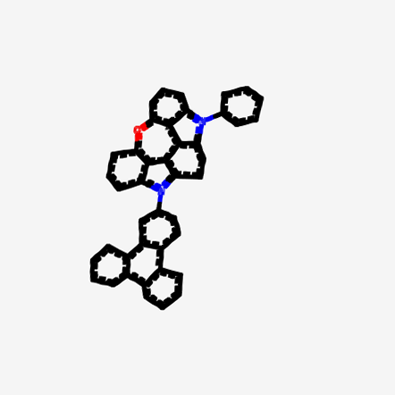 c1ccc(-n2c3cccc4oc5cccc6c5c5c(c43)c2ccc5n6-c2ccc3c4ccccc4c4ccccc4c3c2)cc1